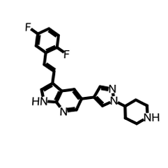 Fc1ccc(F)c(/C=C/c2c[nH]c3ncc(-c4cnn(C5CCNCC5)c4)cc23)c1